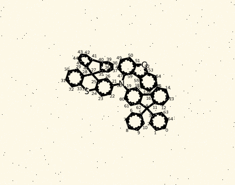 c1ccc(C2(c3ccccc3)c3ccccc3-c3cc(N(c4ccc5c(c4)C4(c6ccccc6S5)c5ccccc5-c5ccccc54)c4cccc5oc6ccccc6c45)ccc32)cc1